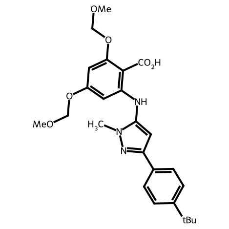 COCOc1cc(Nc2cc(-c3ccc(C(C)(C)C)cc3)nn2C)c(C(=O)O)c(OCOC)c1